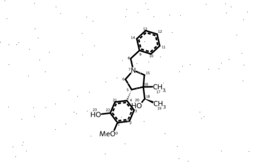 COc1ccc([C@@H]2CN(Cc3ccccc3)CC2(C)[C@@H](C)O)cc1O